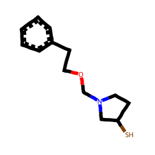 SC1CCN(COCCc2ccccc2)C1